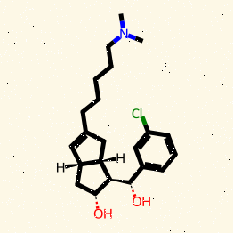 CN(C)CCCCCC1=C[C@H]2C[C@@H](O)[C@H]([C@@H](O)c3cccc(Cl)c3)[C@H]2C1